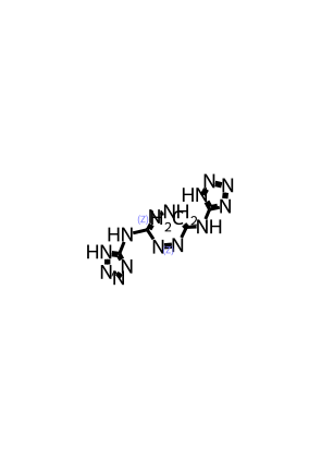 C=C(/N=N\C(=N/N)Nc1nnn[nH]1)Nc1nnn[nH]1